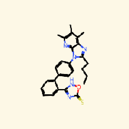 CCCCc1nc2c(C)c(C)c(C)nc2n1-c1ccc(-c2ccccc2-c2nc(=S)o[nH]2)cc1